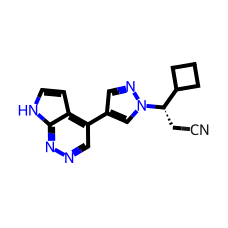 N#CC[C@@H](C1CCC1)n1cc(-c2cnnc3[nH]ccc23)cn1